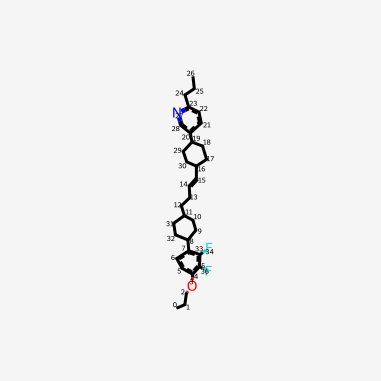 CCCOc1ccc(C2CCC(CC/C=C/C3CCC(c4ccc(CCC)nc4)CC3)CC2)c(F)c1F